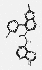 Cc1nc2c(-c3cccc(F)c3)c(C(C)Nc3ncnc4[nH]cnc34)ccc2s1